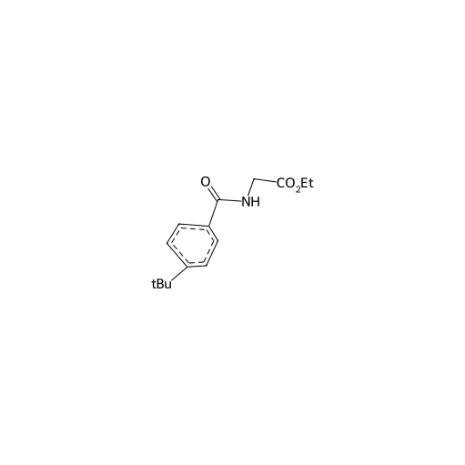 CCOC(=O)CNC(=O)c1ccc(C(C)(C)C)cc1